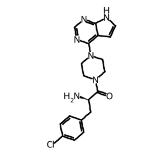 N[C@H](Cc1ccc(Cl)cc1)C(=O)N1CCN(c2ncnc3[nH]ccc23)CC1